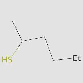 CCCCC(C)S